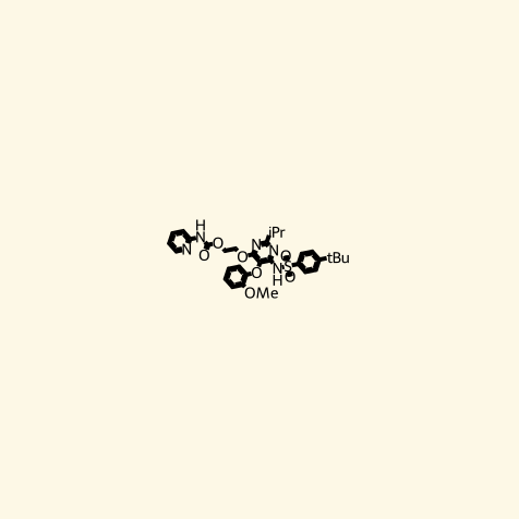 COc1ccccc1Oc1c(NS(=O)(=O)c2ccc(C(C)(C)C)cc2)nc(C(C)C)nc1OCCOC(=O)Nc1ccccn1